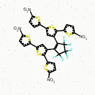 O=[N+]([O-])c1ccc(-c2cc(C3=C(c4cc(-c5ccc([N+](=O)[O-])s5)sc4-c4ccc([N+](=O)[O-])s4)C(F)(F)C(F)(F)C3(F)F)c(-c3ccc([N+](=O)[O-])s3)s2)s1